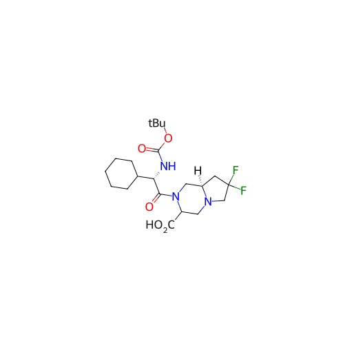 CC(C)(C)OC(=O)N[C@H](C(=O)N1C[C@H]2CC(F)(F)CN2CC1C(=O)O)C1CCCCC1